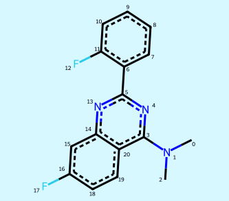 CN(C)c1nc(-c2ccccc2F)nc2cc(F)ccc12